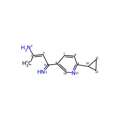 C/C(N)=C\C(=N)c1ccc(C2CC2)nc1